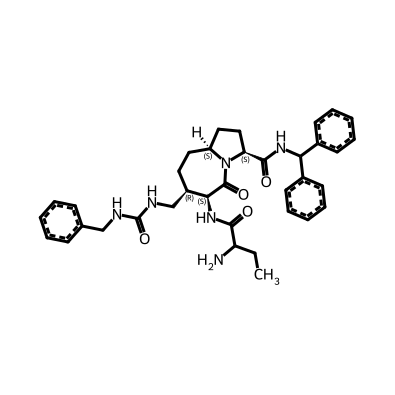 CCC(N)C(=O)N[C@@H]1C(=O)N2[C@@H](CC[C@@H]1CNC(=O)NCc1ccccc1)CC[C@H]2C(=O)NC(c1ccccc1)c1ccccc1